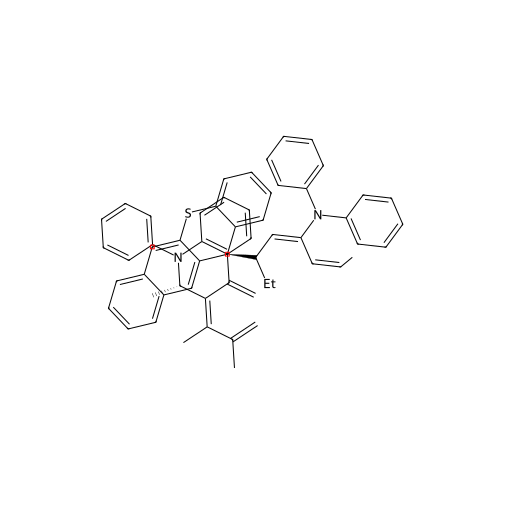 C=C(C)/C(C)=C(\C(=C)[C@@]1(C(/C=C(\C=C/C)N(c2ccccc2)c2ccccc2)CC)c2ccccc2Sc2cc3ccccc3cc21)[C@H](C)N(c1ccccc1)c1ccccc1